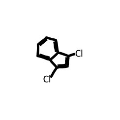 ClC1=C=C(Cl)c2ccccc21